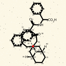 O=C(NC(C(=O)O)c1ccccc1)c1nc2ccccc2n([C@H]2C[C@H]3CCC[C@@H](C2)N3C2CCCCCCC2)c1=O